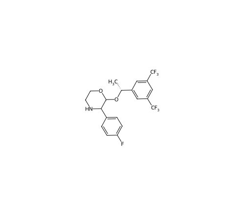 C[C@@H](O[C]1OCCNC1c1ccc(F)cc1)c1cc(C(F)(F)F)cc(C(F)(F)F)c1